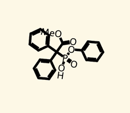 COC(=O)C(c1ccccc1)(c1ccccc1)P(=O)(O)Oc1ccccc1